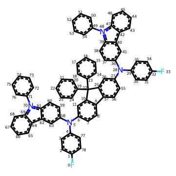 Fc1ccc(N(c2ccc3c(c2)C(c2ccccc2)(c2ccccc2)c2cc(N(c4ccc(F)cc4)c4ccc5c(c4)c4ccccc4n5-c4ccccc4)ccc2-3)c2ccc3c(c2)c2ccccc2n3-c2ccccc2)cc1